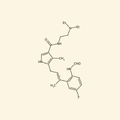 CCN(CC)CCNC(=O)c1c[nH]c(C/C=C(\C)c2cc(F)ccc2NC=O)c1C